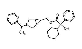 CC(c1ccccc1)N1CC2C(COC(=O)C(O)(c3ccccc3)C3CCCCC3)C2C1